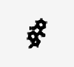 Cn1ccc2c(C(=O)c3ccccc3O)cccc21